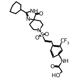 O=C(CO)Nc1ccc(C=CS(=O)(=O)N2CCC3(CC2)N=C(C2CCCCC2)NC3=O)c(C(F)(F)F)c1